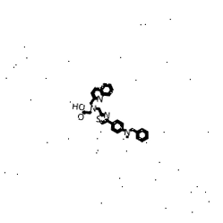 CN(Cc1ccccc1)c1ccc(-c2csc(CN(CC(=O)O)Cc3ccc4ccccc4n3)n2)cc1